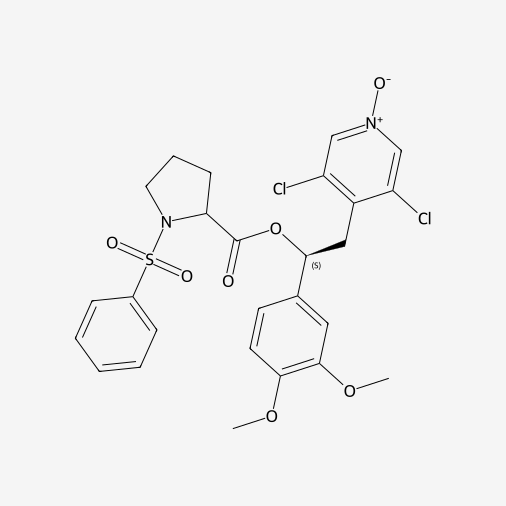 COc1ccc([C@H](Cc2c(Cl)c[n+]([O-])cc2Cl)OC(=O)C2CCCN2S(=O)(=O)c2ccccc2)cc1OC